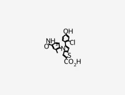 Cc1cc(C(N)=O)ccc1-n1c(-c2ccc(O)cc2Cl)cc2sc(C(=O)O)cc21